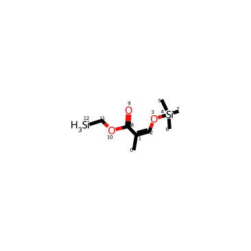 CC(=CO[Si](C)(C)C)C(=O)OC[SiH3]